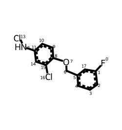 Fc1cccc(COc2ccc(NCl)cc2Cl)c1